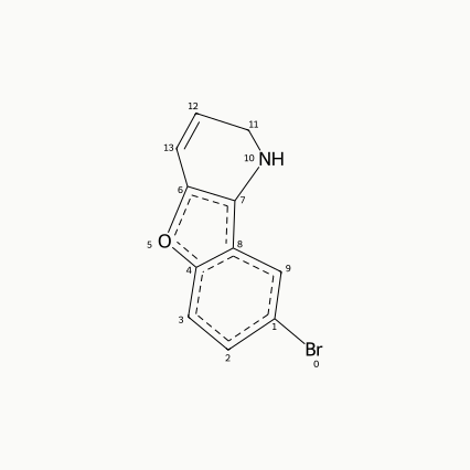 Brc1ccc2oc3c(c2c1)NCC=C3